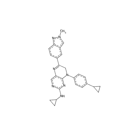 Cn1cc2cc(C3=Nc4cnc(NC5CC5)nc4N(c4ccc(C5CC5)cc4)C3)ccc2n1